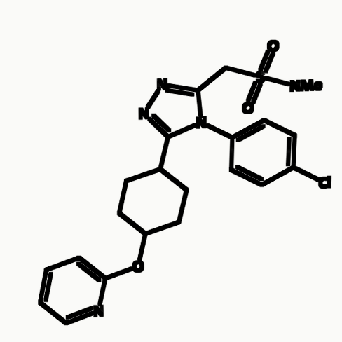 CNS(=O)(=O)Cc1nnc(C2CCC(Oc3ccccn3)CC2)n1-c1ccc(Cl)cc1